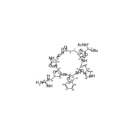 CCCC[C@H](NC(C)=O)C(=O)N[C@H]1CCC(=O)NCCC(C(N)=O)NC(=O)[C@H](CCCNC(=N)N)NC(=O)[C@@H](Cc2ccccc2)NC(=O)[C@H](Cc2c[nH]cn2)NC1=O